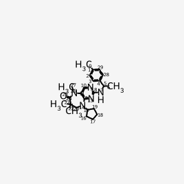 Cc1ccc(C(C)Nc2ncc3c(n2)N(C2CCCC2)CC(C)(C)C(=O)N3C)cc1